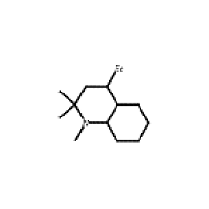 CCC1CC(C)(C)N(C)C2CCCCC12